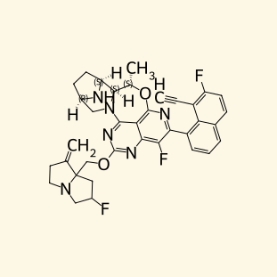 C#Cc1c(F)ccc2cccc(-c3nc4c5c(nc(OCC67CC(F)CN6CCC7=C)nc5c3F)N3C[C@H]5CC[C@H](N5)[C@H]3[C@H](C)O4)c12